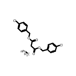 CCCC.O=C(CC(=O)OCc1ccc(Cl)cc1)OCc1ccc(Cl)cc1